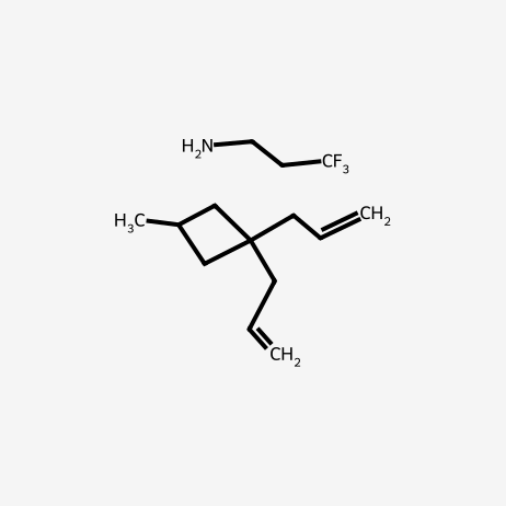 C=CCC1(CC=C)CC(C)C1.NCCC(F)(F)F